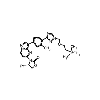 Cc1cc(-c2cnn3ccc(N4C(=O)OC[C@@H]4C(C)C)nc23)ccc1-c1ncn(COCC[Si](C)(C)C)n1